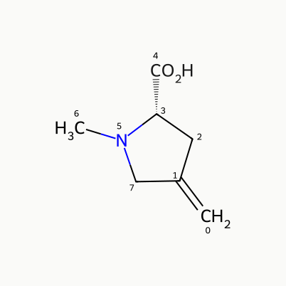 C=C1C[C@@H](C(=O)O)N(C)C1